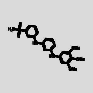 COc1cc(Nc2nccc(Nc3cccc(S(N)(=O)=O)c3)n2)cc(OC)c1OC